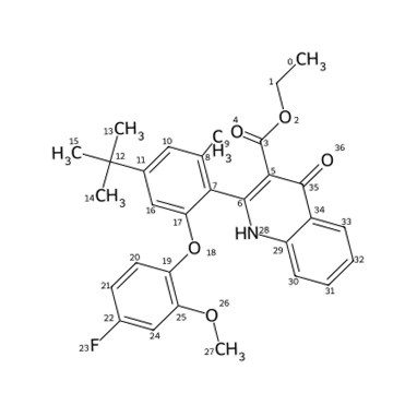 CCOC(=O)c1c(-c2c(C)cc(C(C)(C)C)cc2Oc2ccc(F)cc2OC)[nH]c2ccccc2c1=O